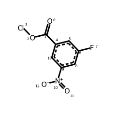 O=C(OCl)c1cc(F)cc([N+](=O)[O-])c1